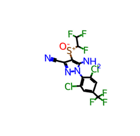 N#Cc1nn(-c2c(Cl)cc(C(F)(F)F)cc2Cl)c(N)c1[S+]([O-])C(F)C(F)F